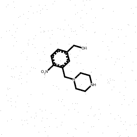 O=[N+]([O-])c1ccc(CO)cc1CN1CCNCC1